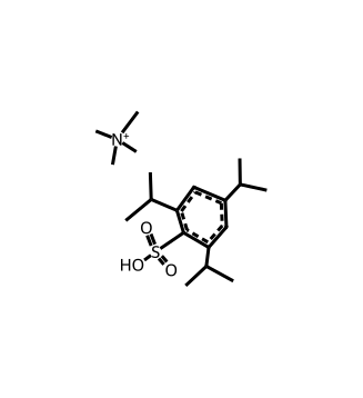 CC(C)c1cc(C(C)C)c(S(=O)(=O)O)c(C(C)C)c1.C[N+](C)(C)C